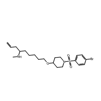 C=CCC(CCCCCOC1CCN(S(=O)(=O)c2ccc(Br)cc2)CC1)NC